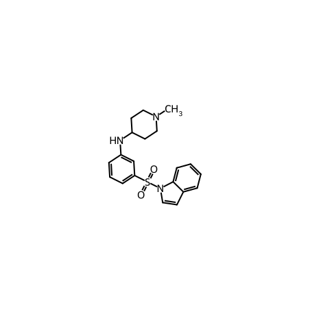 CN1CCC(Nc2cccc(S(=O)(=O)n3ccc4ccccc43)c2)CC1